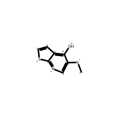 CSc1cnc2sccc2c1O